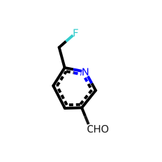 O=Cc1ccc(CF)nc1